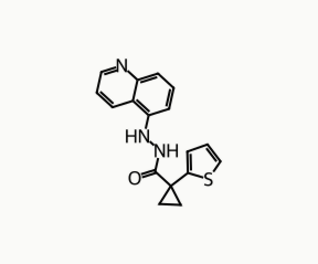 O=C(NNc1cccc2ncccc12)C1(c2cccs2)CC1